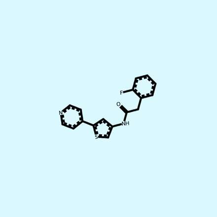 O=C(Cc1ccccc1F)Nc1csc(-c2ccncc2)c1